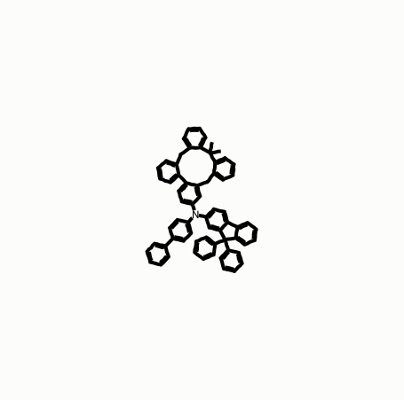 CC1(C)c2ccccc2Cc2ccccc2-c2ccc(N(c3ccc(-c4ccccc4)cc3)c3ccc4c(c3)C(c3ccccc3)(c3ccccc3)c3ccccc3-4)cc2Cc2ccccc21